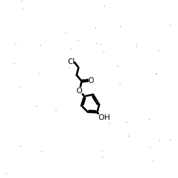 O=C(CCCl)Oc1ccc(O)cc1